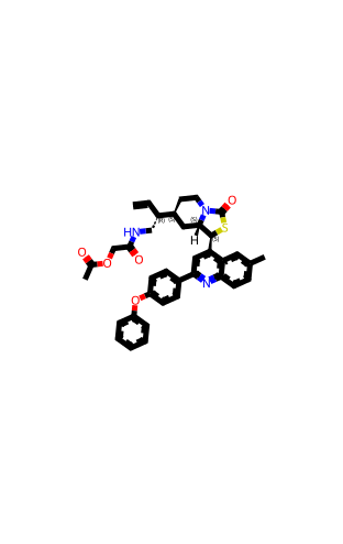 C=C[C@@H](CNC(=O)COC(C)=O)[C@H]1CCN2C(=O)S[C@@H](c3cc(-c4ccc(Oc5ccccc5)cc4)nc4ccc(C)cc34)[C@@H]2C1